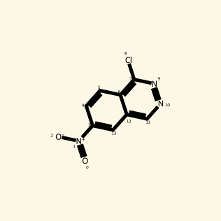 O=[N+]([O-])c1ccc2c(Cl)nncc2c1